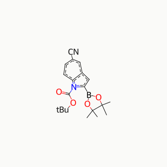 CC(C)(C)OC(=O)n1c(B2OC(C)(C)C(C)(C)O2)cc2cc(C#N)ccc21